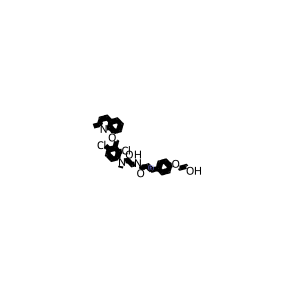 Cc1ccc2cccc(OCc3c(Cl)ccc(N(C)C(=O)CNC(=O)/C=C/c4ccc(OCCO)cc4)c3Cl)c2n1